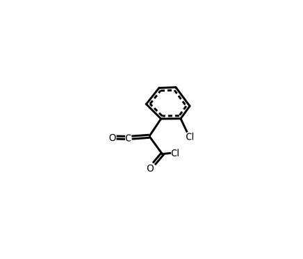 O=C=C(C(=O)Cl)c1ccccc1Cl